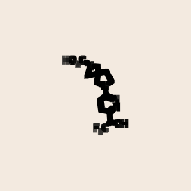 O=C(O)N1CC2(CCN(c3ccc(C(O)C(F)(F)F)nn3)C2)C1